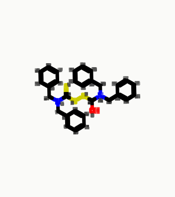 OC(SSC(=S)N(Cc1ccccc1)Cc1ccccc1)N(Cc1ccccc1)Cc1ccccc1